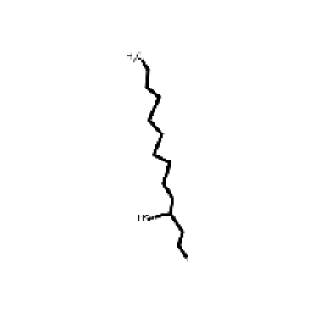 CCCCCCCCCCC([SeH])CCI